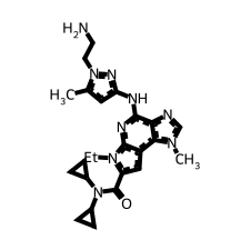 CCn1c(C(=O)N(C2CC2)C2CC2)cc2c3c(ncn3C)c(Nc3cc(C)n(CCN)n3)nc21